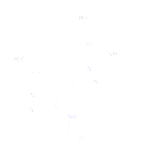 CCOC(C)n1cc(-c2c(NC=O)cnn3cc(C)cc23)cn1